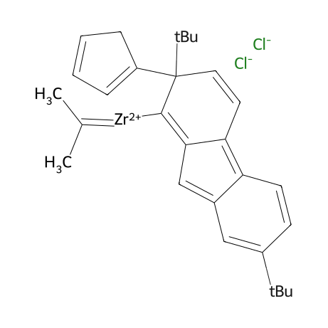 C[C](C)=[Zr+2][C]1=C2C=c3cc(C(C)(C)C)ccc3=C2C=CC1(C1=CC=CC1)C(C)(C)C.[Cl-].[Cl-]